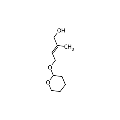 C/C(=C\COC1CCCCO1)CO